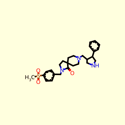 CS(=O)(=O)c1ccc(CN2CCC3(CCN(CC4CNCC4c4ccccc4)CC3)C2=O)cc1